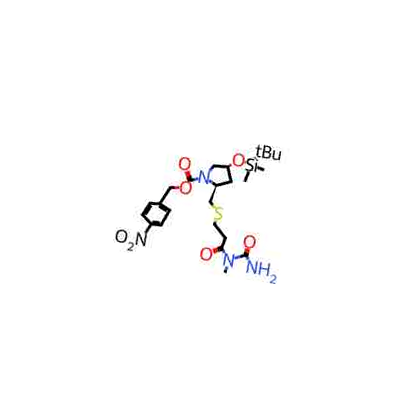 CN(C(N)=O)C(=O)CCSC[C@@H]1C[C@H](O[Si](C)(C)C(C)(C)C)CN1C(=O)OCc1ccc([N+](=O)[O-])cc1